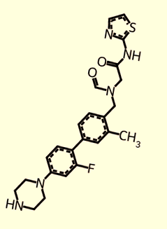 Cc1cc(-c2ccc(N3CCNCC3)cc2F)ccc1CN(C=O)CC(=O)Nc1nccs1